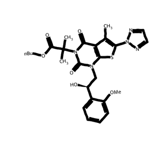 CCCCOC(=O)C(C)(C)n1c(=O)c2c(C)c(-n3nccn3)sc2n(C[C@H](O)c2ccccc2OC)c1=O